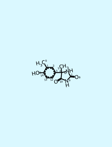 Cc1cc(C2(C)NC(=O)NC2=O)ccc1O